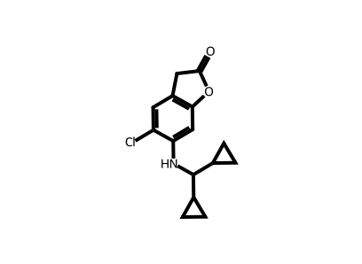 O=C1Cc2cc(Cl)c(NC(C3CC3)C3CC3)cc2O1